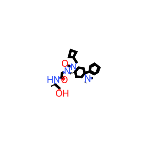 C[C@H](CO)NC(=O)CN1C[C@]2(CC[C@@](c3ccccc3)(N(C)C)CC2)N(CC2CCC2)C1=O